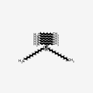 CCCCCCCCCC.CCCCCCCCCC.CCCCCCCCCC.CCCCCCCCCC.CCCCCCCCCC.CCCCCCCCCCCCCCCO[PH](=O)OCCCCCCCCCCCCCCC